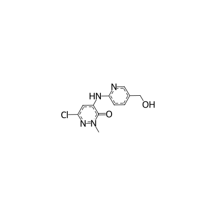 Cn1nc(Cl)cc(Nc2ccc(CO)cn2)c1=O